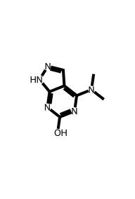 CN(C)c1nc(O)nc2[nH]ncc12